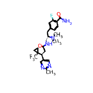 Cc1ncc([C@H](CC(=O)NC[C@H](Cc2ccc(C(N)=O)c(F)c2)N(C)C)C2(C(F)(F)F)CC2)cn1